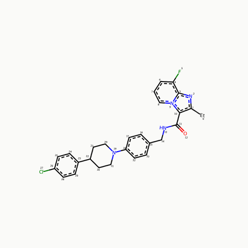 CCc1nc2c(F)cccn2c1C(=O)NCc1ccc(N2CCC(c3ccc(Cl)cc3)CC2)cc1